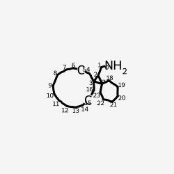 NCC1C2(CCCCCCCCCCCCC2)C12CCCCCC2